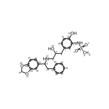 CS(=O)(=O)Nc1cc(CC(O)CNC(Cc2ccccc2)c2ccc3c(c2)OCO3)ccc1O